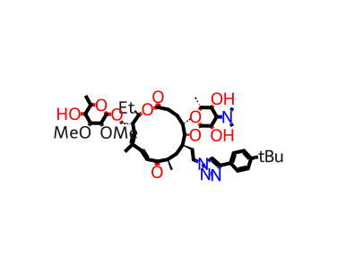 CC[C@H]1OC(=O)CC[C@H](C)[C@@H](O[C@@H]2O[C@H](C)C(O)C(N(C)C)C2O)[C@@H](CCn2cc(-c3ccc(C(C)(C)C)cc3)nn2)C[C@@H](C)C(=O)/C=C/C(C)=C/[C@@H]1COC1OC(C)C(O)C(OC)C1OC